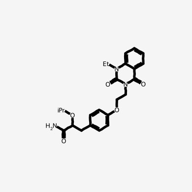 CCn1c(=O)n(CCOc2ccc(CC(OC(C)C)C(N)=O)cc2)c(=O)c2ccccc21